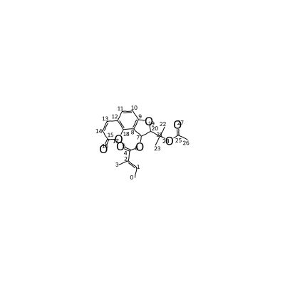 CC=C(C)C(=O)OC1c2c(ccc3ccc(=O)oc23)OC1C(C)(C)OC(C)=O